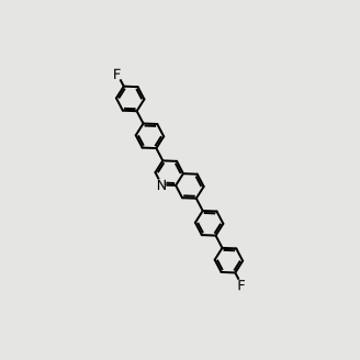 Fc1ccc(-c2ccc(-c3cnc4cc(-c5ccc(-c6ccc(F)cc6)cc5)ccc4c3)cc2)cc1